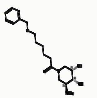 CC(=O)N[C@H]1CN(C(=O)CCCCCOCc2ccccc2)C[C@H](O)[C@@H]1O